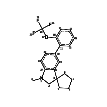 CN1CC2(CCCC2)c2cc(-c3ccccc3OC(F)(F)F)ccc21